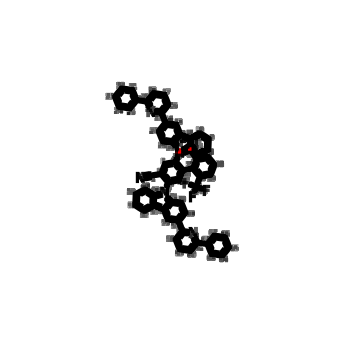 N#Cc1cc(-n2c3ccccc3c3cc(-c4cccc(-c5ccccc5)n4)ccc32)c(-c2c(C(F)(F)F)cccc2C(F)(F)F)cc1-n1c2ccccc2c2cc(-c3cccc(-c4ccccc4)n3)ccc21